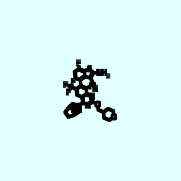 N#Cc1c(N)sc2c(F)ccc(-c3c(C(F)(F)F)cc4c(N5CC6CCC(C5)N6)nc(OCC5CCOCC5)nc4c3F)c12